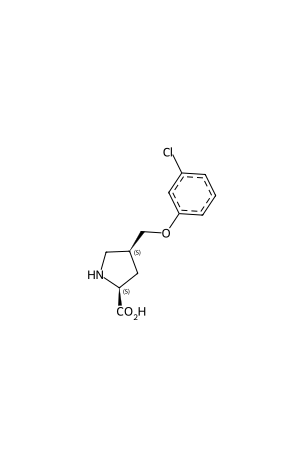 O=C(O)[C@@H]1C[C@H](COc2cccc(Cl)c2)CN1